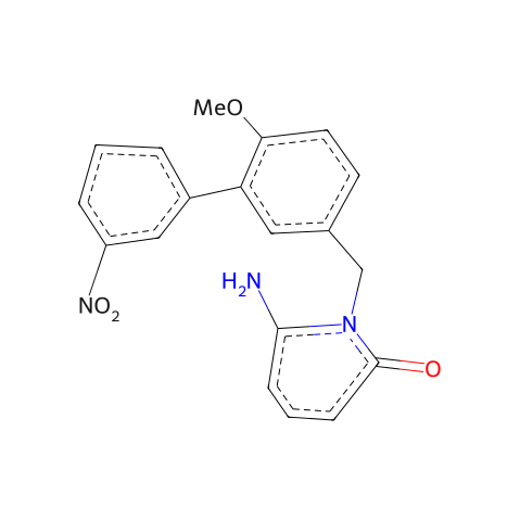 COc1ccc(Cn2c(N)cccc2=O)cc1-c1cccc([N+](=O)[O-])c1